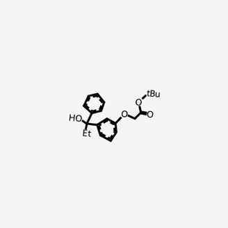 CCC(O)(c1ccccc1)c1cccc(OCC(=O)OC(C)(C)C)c1